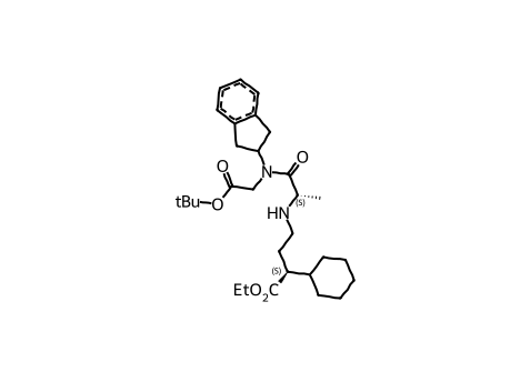 CCOC(=O)[C@@H](CCN[C@@H](C)C(=O)N(CC(=O)OC(C)(C)C)C1Cc2ccccc2C1)C1CCCCC1